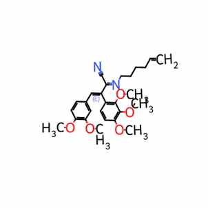 C=CCCCCN=C(C#N)/C(=C/c1ccc(OC)c(OC)c1)c1ccc(OC)c(OC)c1OC